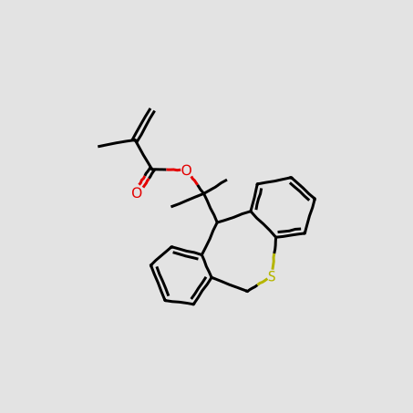 C=C(C)C(=O)OC(C)(C)C1c2ccccc2CSc2ccccc21